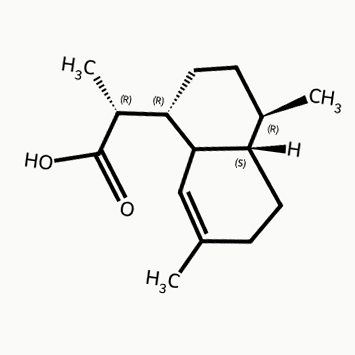 CC1=CC2[C@@H](CC1)[C@H](C)CC[C@H]2[C@@H](C)C(=O)O